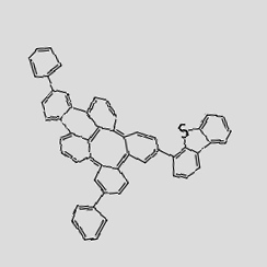 c1ccc(-c2ccc3c4cc(-c5cccc6c5sc5ccccc56)ccc4c4cccc5c6cc(-c7ccccc7)ccc6c6cccc(c3c2)c6c45)cc1